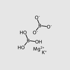 OB(O)O.[K+].[Mg+2].[O-]B([O-])[O-]